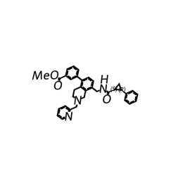 COC(=O)c1cccc(-c2ccc(CNC(=O)[C@H]3C[C@H]3c3ccccc3)c3c2CCN(Cc2ccccn2)C3)c1